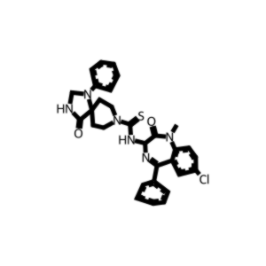 CN1C(=O)C(NC(=S)N2CCC3(CC2)C(=O)NCN3c2ccccc2)N=C(c2ccccc2)c2cc(Cl)ccc21